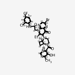 CCc1c(N2CCN(C(=O)c3ncnc(C)c3O)[C@H]3CC[C@@H]32)c(=O)c2nc(Br)cnc2n1CC(=O)Nc1ccc(C(F)(F)F)cc1Cl